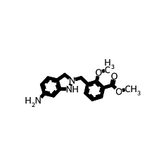 COC(=O)c1cccc(CN2Cc3ccc(N)cc3N2)c1OC